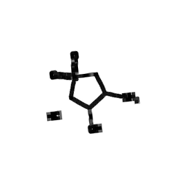 Cl.NC1CS(=O)(=O)CC1O